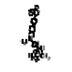 CC(c1ccc(NC(=O)OC(C)(C)C)nc1)N1CCC2(CCN(c3ccc(C4CCC(=O)NC4=O)cc3)CC2)CC1